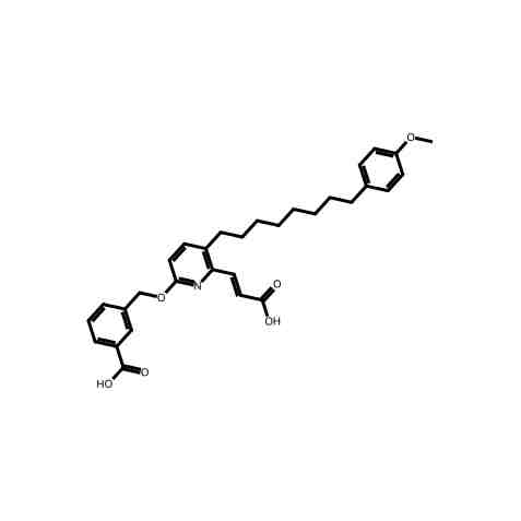 COc1ccc(CCCCCCCCc2ccc(OCc3cccc(C(=O)O)c3)nc2C=CC(=O)O)cc1